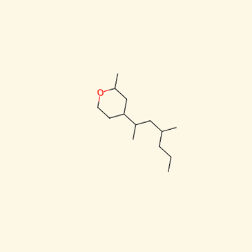 CCCC(C)CC(C)C1CCOC(C)C1